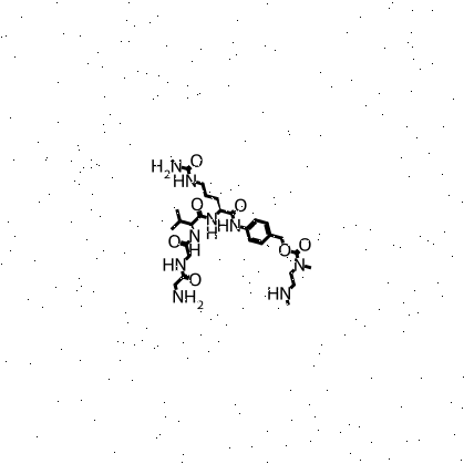 CNCCN(C)C(=O)OCc1ccc(NC(=O)[C@H](CCCNC(N)=O)NC(=O)[C@@H](NC(=O)CNC(=O)CN)C(C)C)cc1